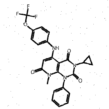 Cn1c(=O)cc(Nc2ccc(OC(F)(F)F)cc2)c2c(=O)n(C3CC3)c(=O)n(-c3ccccc3)c21